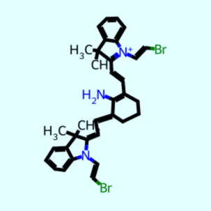 CC1(C)C(/C=C/C2=C(N)C(=C/C=C3/N(/C=C/Br)c4ccccc4C3(C)C)/CCC2)=[N+](/C=C/Br)c2ccccc21